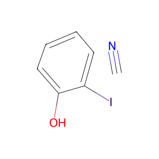 C#N.Oc1ccccc1I